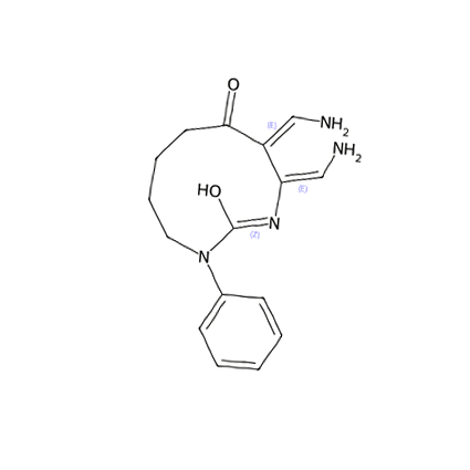 N/C=C1/N=C(\O)N(c2ccccc2)CCCCC(=O)/C1=C/N